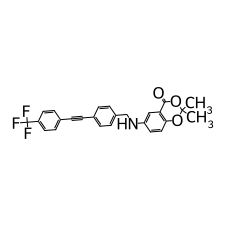 CC1(C)OC(=O)c2cc(NCc3ccc(C#Cc4ccc(C(F)(F)F)cc4)cc3)ccc2O1